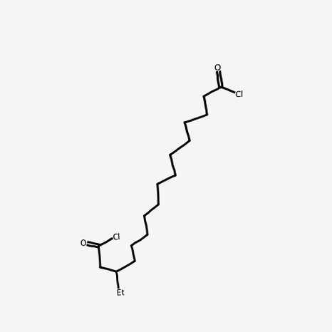 CCC(CCCCCCCCCCCCC(=O)Cl)CC(=O)Cl